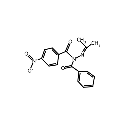 CC(C)=NN(C(=O)c1ccccc1)C(=O)c1ccc([N+](=O)[O-])cc1